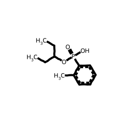 CCC(CC)OP(=O)(O)c1ccccc1C